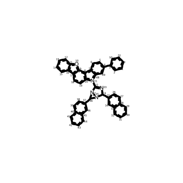 c1ccc(-c2ccc3c4c5oc6ccccc6c5ccc4n(C4=NC(c5ccc6ccccc6c5)N5C(c6ccc7ccccc7c6)N45)c3c2)cc1